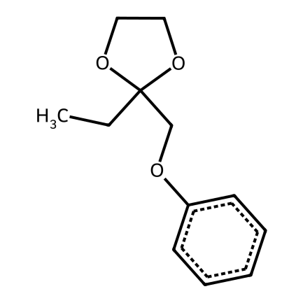 CCC1(COc2ccccc2)OCCO1